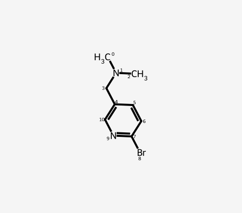 CN(C)Cc1ccc(Br)nc1